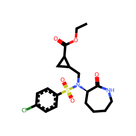 CCOC(=O)C1CC1CN([C@@H]1CCCCNC1=O)S(=O)(=O)c1ccc(Cl)cc1